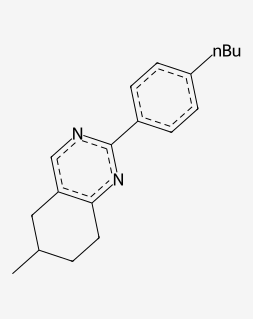 CCCCc1ccc(-c2ncc3c(n2)CCC(C)C3)cc1